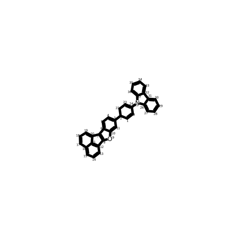 C1=CC(c2ccc3c4c(oc3c2)-c2cccc3cccc-4c23)CC=C1n1c2ccccc2c2ccccc21